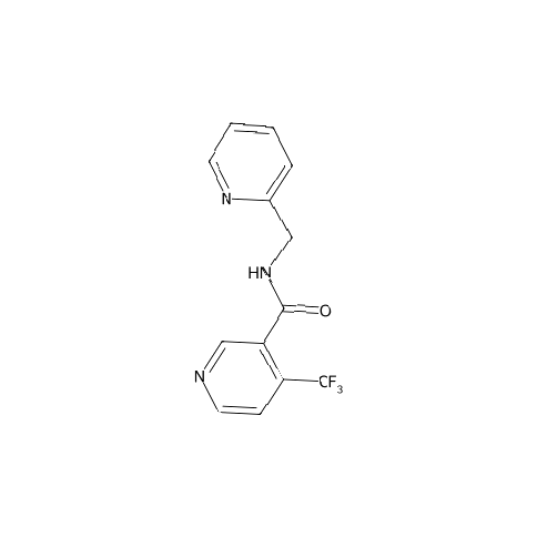 O=C(NCc1ccccn1)c1cnccc1C(F)(F)F